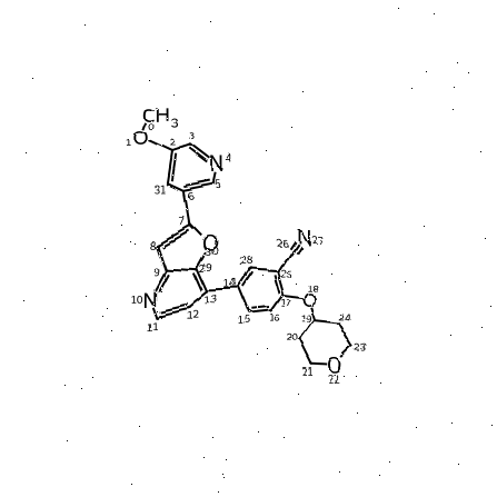 COc1cncc(-c2cc3nccc(-c4ccc(OC5CCOCC5)c(C#N)c4)c3o2)c1